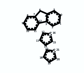 c1ccc2c(c1)Cc1ccccc1-2.c1ccsc1.c1ccsc1